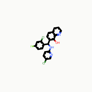 Oc1c(C(Nc2ccc(Cl)cn2)c2ccc(F)cc2Cl)ccc2cccnc12